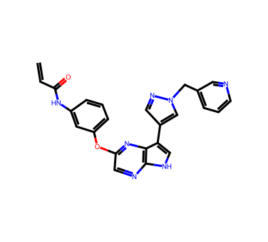 C=CC(=O)Nc1cccc(Oc2cnc3[nH]cc(-c4cnn(Cc5cccnc5)c4)c3n2)c1